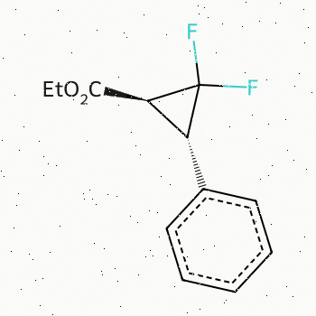 CCOC(=O)[C@@H]1[C@@H](c2ccccc2)C1(F)F